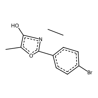 CC.Cc1oc(-c2ccc(Br)cc2)nc1O